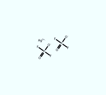 O=P([O-])(F)F.O=P([O-])(F)F.[Ag+2]